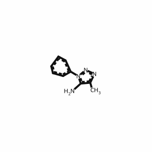 Cc1nnn(-c2ccccc2)c1N